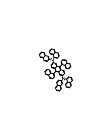 c1ccc2cc(N(c3ccc4c(-c5cccc6ccccc56)c5cc(N(c6ccc7ccccc7c6)c6cccc7ccccc67)ccc5c(-c5cccc6ccccc56)c4c3)c3cccc4ccccc34)ccc2c1